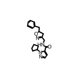 O=C(NCC1=NOC(Cc2ccccc2)C1)c1ccnn1C1CCCC1